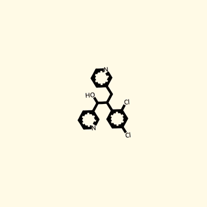 OC(c1cccnc1)C(Cc1cccnc1)c1ccc(Cl)cc1Cl